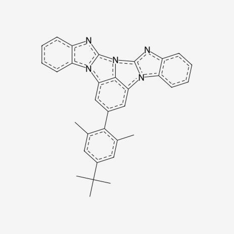 Cc1cc(C(C)(C)C)cc(C)c1-c1cc2c3c(c1)n1c4ccccc4nc1n3c1nc3ccccc3n21